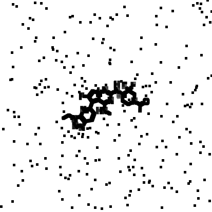 CCn1nnc2ccc(-c3c(F)cn4nc(N[C@@H]5CCN(C(C)=O)CC5(F)F)nc(NC)c34)nc21